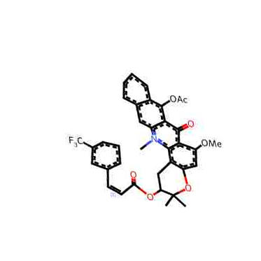 COc1cc2c(c3c1c(=O)c1c(OC(C)=O)c4ccccc4cc1n3C)CC(OC(=O)/C=C\c1cccc(C(F)(F)F)c1)C(C)(C)O2